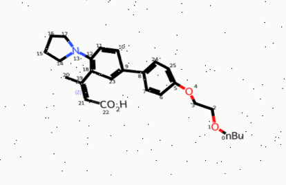 CCCCOCCOc1ccc(-c2ccc(N3CCCC3)c(/C(C)=C\C(=O)O)c2)cc1